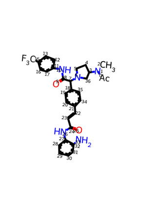 CC(=O)N(C)C1CCN(C(C(=O)Nc2ccc(C(F)(F)F)cc2)c2ccc(C=CC(=O)Nc3ccccc3N)cc2)C1